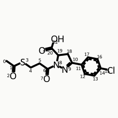 CC(=O)SCCC(=O)N1N=C(c2ccc(Cl)cc2)CC1C(=O)O